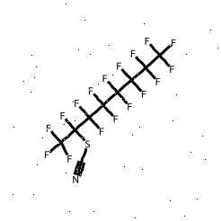 N#CSC(F)(C(F)(F)F)C(F)(F)C(F)(F)C(F)(F)C(F)(F)C(F)(F)C(F)(F)F